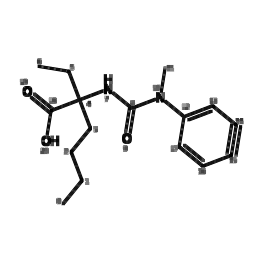 CCCCC(CC)(NC(=O)N(C)c1cc#ccc1)C(=O)O